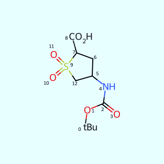 CC(C)(C)OC(=O)NC1CC(C(=O)O)S(=O)(=O)C1